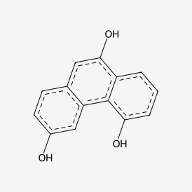 Oc1ccc2cc(O)c3cccc(O)c3c2c1